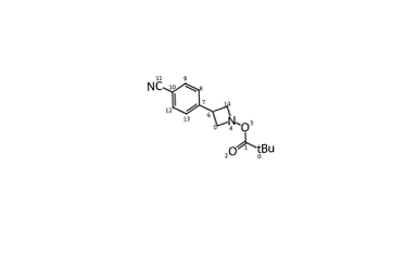 CC(C)(C)C(=O)ON1CC(c2ccc(C#N)cc2)C1